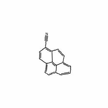 N#Cc1ccc2ccc3[c]ccc4ccc1c2c34